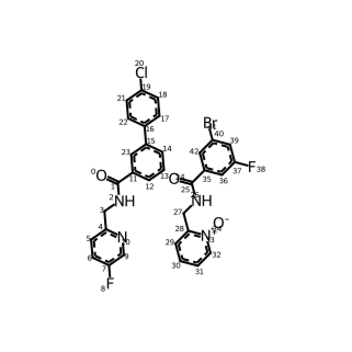 O=C(NCc1ccc(F)cn1)c1cccc(-c2ccc(Cl)cc2)c1.O=C(NCc1cccc[n+]1[O-])c1cc(F)cc(Br)c1